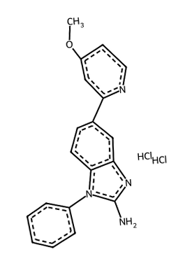 COc1ccnc(-c2ccc3c(c2)nc(N)n3-c2ccccc2)c1.Cl.Cl